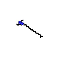 CCC1=NC(CC)CN1CCCCCCCCCCCCCCCC(C)C